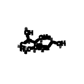 CCOC(C)=O.COCC(C)O.OCCO